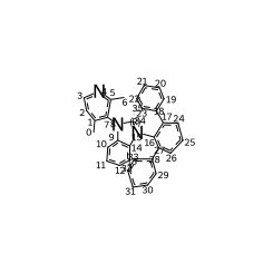 Cc1ccnc(C)c1N1c2ccccc2N(c2c(-c3ccccc3)cccc2-c2ccccc2)[C@H]1C